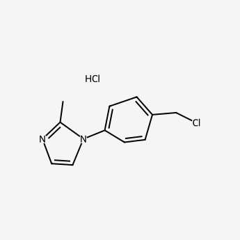 Cc1nccn1-c1ccc(CCl)cc1.Cl